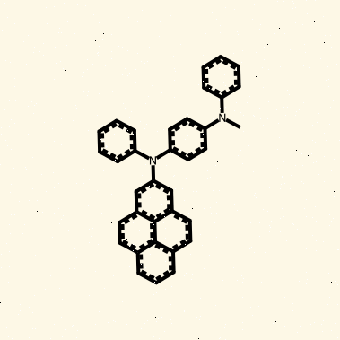 CN(c1ccccc1)c1ccc(N(c2ccccc2)c2cc3ccc4cccc5ccc(c2)c3c45)cc1